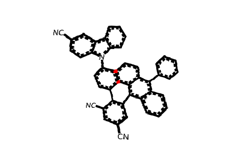 N#Cc1cc(C#N)c(-c2ccc(-n3c4ccccc4c4cc(C#N)ccc43)cc2)c(-c2c3ccccc3c(-c3ccccc3)c3ccccc23)c1